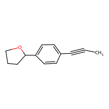 CC#Cc1ccc(C2CCCO2)cc1